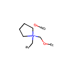 CCOC[N+]1(CC(C)C)CCCC1.O=N[O-]